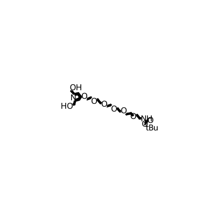 CC(C)(C)OC(=O)NCCOCCOCCOCCOCCOCCOc1cc(CO)nc(CO)c1